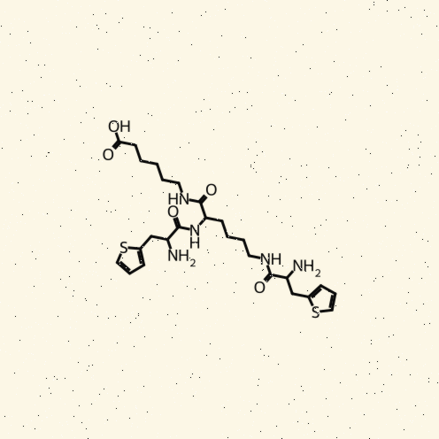 NC(Cc1cccs1)C(=O)NCCCCC(NC(=O)C(N)Cc1cccs1)C(=O)NCCCCCC(=O)O